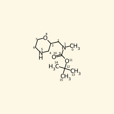 CN(CC1CNCCO1)C(=O)OC(C)(C)C